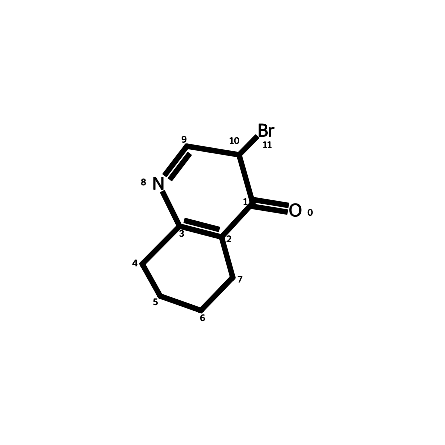 O=C1C2=C(CCCC2)N=CC1Br